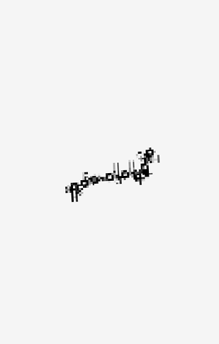 O=C1CCC(c2ccc(N3CCN(CCC4CCC(NC(=O)c5ccc(Nc6ncc(F)c(Nc7ccc(C(=O)Nc8ccccc8Cl)cc7)n6)cc5)CC4)CC3)c(F)c2)C(=O)N1